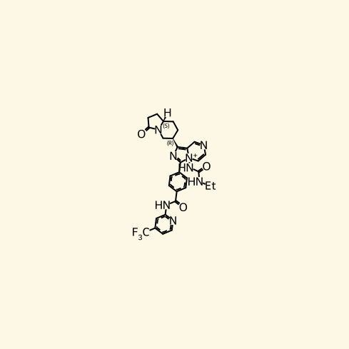 CCNC(=O)N[N+]12C=CN=CC1=C([C@@H]1CC[C@H]3CCC(=O)N3C1)N=C2c1ccc(C(=O)Nc2cc(C(F)(F)F)ccn2)cc1